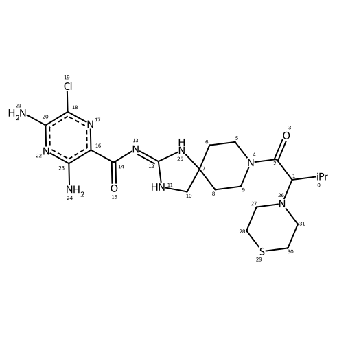 CC(C)C(C(=O)N1CCC2(CC1)CN/C(=N\C(=O)c1nc(Cl)c(N)nc1N)N2)N1CCSCC1